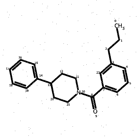 CCCc1cccc(C(=O)N2CCC(c3ccccc3)CC2)c1